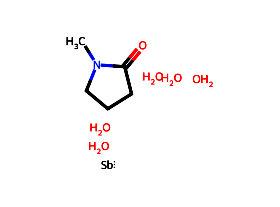 CN1CCCC1=O.O.O.O.O.O.[Sb]